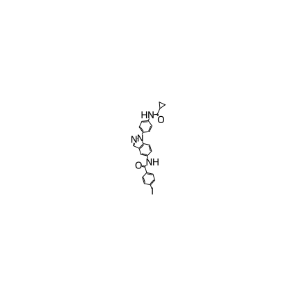 O=C(Nc1ccc2c(cnn2-c2ccc(NC(=O)C3CC3)cc2)c1)c1ccc(I)cc1